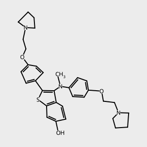 CN(c1ccc(OCCN2CCCC2)cc1)c1c(-c2ccc(OCCN3CCCC3)cc2)sc2cc(O)ccc12